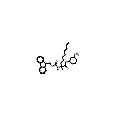 C=CCCCCCCC(C)(NC(=O)OCC1c2ccccc2-c2ccccc21)C(=O)OC1CCCC(N)C1